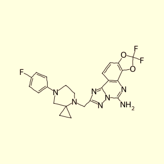 Nc1nc2c3c(ccc2c2nc(CN4CCN(c5ccc(F)cc5)CC45CC5)nn12)OC(F)(F)O3